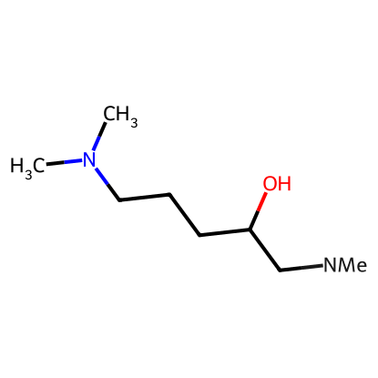 CNCC(O)CCCN(C)C